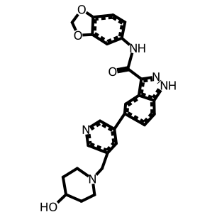 O=C(Nc1ccc2c(c1)OCO2)c1n[nH]c2ccc(-c3cncc(CN4CCC(O)CC4)c3)cc12